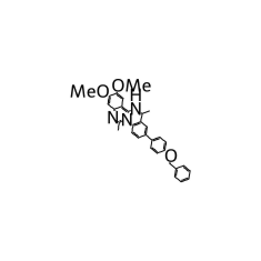 COc1cc2nc(C)nc(NC(C)c3cccc(-c4ccc(OCc5ccccc5)cc4)c3)c2cc1OC